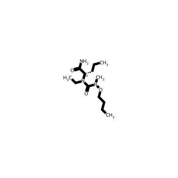 CCCCON(C)C(=O)N(CC)[C@@H](CCC)C(N)=O